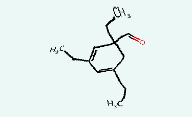 CCC1=CC(C=O)(CC)CC(CC)=C1